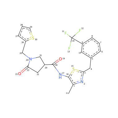 Cc1nc(Cc2cccc(C(F)(F)F)c2)sc1NC(=O)C1CC(=O)N(Cc2cccs2)C1